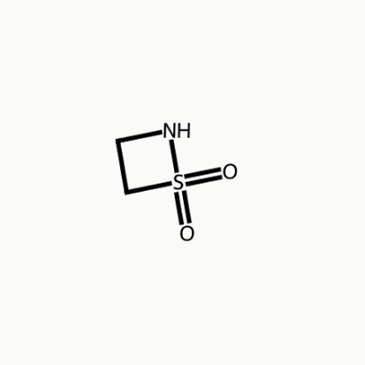 O=S1(=O)CCN1